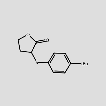 CC(C)(C)c1ccc(SC2CCOC2=O)cc1